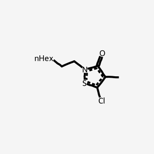 CCCCCCCCn1sc(Cl)c(C)c1=O